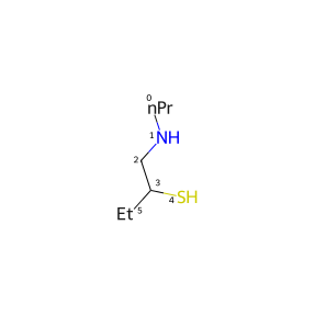 CCCNCC(S)CC